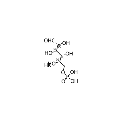 O=C[C@H](O)[C@@H](O)[C@H](O)[C@H](O)COP(=O)(O)O.[KH]